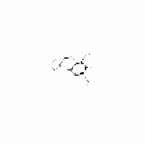 CCc1cc2c(c(CC)c1O)CCC1(CNC1)O2